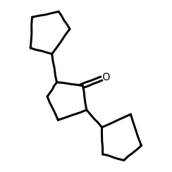 O=C1C(C2CCCC2)CCC1C1CCCC1